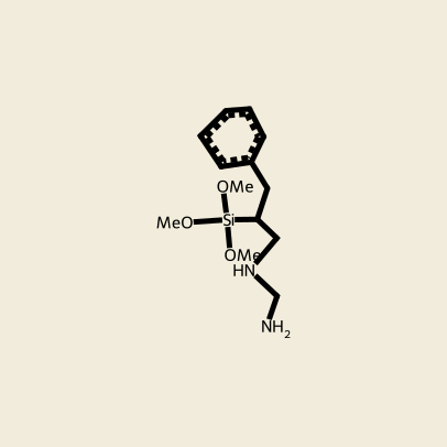 CO[Si](OC)(OC)C(CNCN)Cc1ccccc1